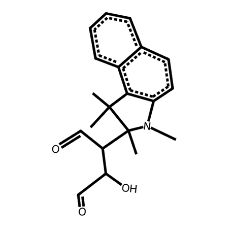 CN1c2ccc3ccccc3c2C(C)(C)C1(C)C(C=O)C(O)C=O